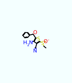 CC[S+]([O-])c1sc(C(=O)c2ccccc2)c(N)c1C#N